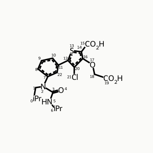 CC(C)CN(C(=O)NC(C)C)c1cccc(-c2sc(C(=O)O)c(OCC(=O)O)c2Cl)c1